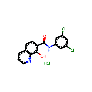 Cl.O=C(Nc1cc(Cl)cc(Cl)c1)c1ccc2cccnc2c1O